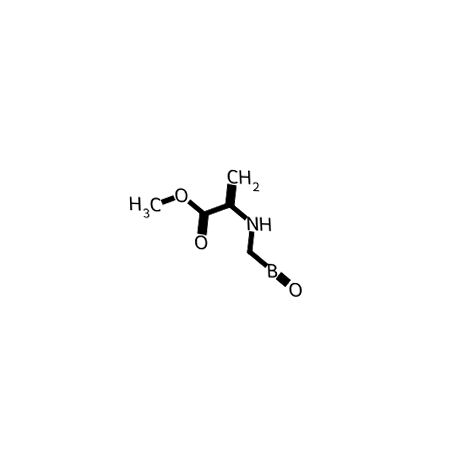 C=C(NCB=O)C(=O)OC